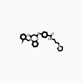 O=C(NCCCN1CCCC1)c1ccc(N=C2CC(=O)N(Cc3ccccc3F)c3ccccc3S2)cc1